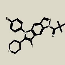 CC(C)(C)C(=O)n1ncc2cc3c(cc21)c(I)c(C1CCOCC1)n3-c1ccc(F)cc1